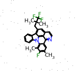 Cc1cc2c3nccc4cc(CC(C)(C)C(F)(F)F)c5c6ccccc6n(c2c(C)c1F)c5c43